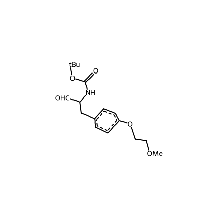 COCCOc1ccc(CC(C=O)NC(=O)OC(C)(C)C)cc1